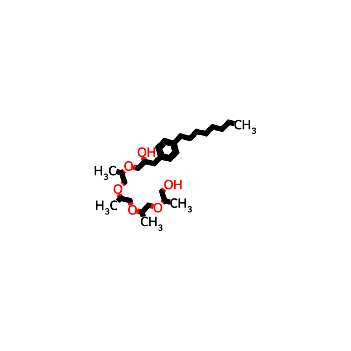 CCCCCCCCc1ccc(CC(O)COC(C)COC(C)COC(C)COC(C)CO)cc1